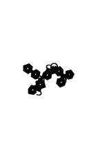 c1ccc(-c2ccc(N(c3ccc4c(c3)sc3oc5ccc(N(c6ccccc6)c6ccccc6)cc5c34)c3ccc4sc5ccccc5c4c3)cc2)cc1